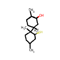 CC1CCC(C)(C2(C)CCC(C)C(O)C2)C(S)C1